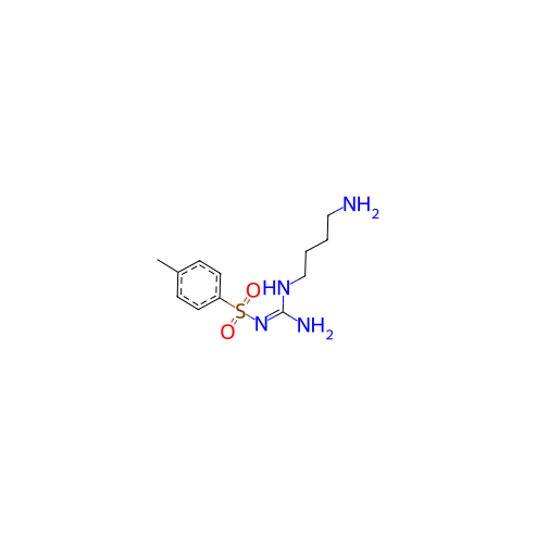 Cc1ccc(S(=O)(=O)N=C(N)NCCCCN)cc1